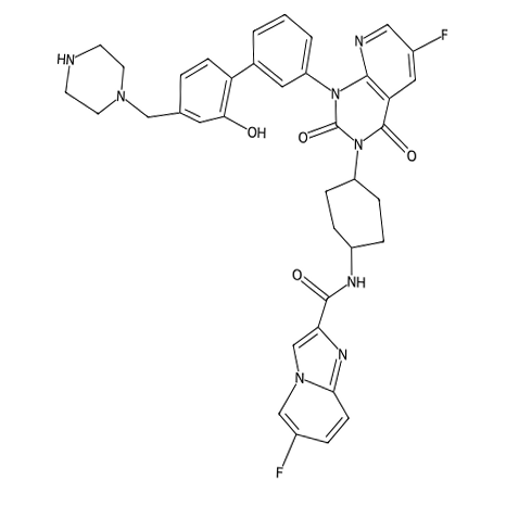 O=C(NC1CCC(n2c(=O)c3cc(F)cnc3n(-c3cccc(-c4ccc(CN5CCNCC5)cc4O)c3)c2=O)CC1)c1cn2cc(F)ccc2n1